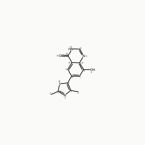 Cc1nc(C)c(-c2cc(O)c3nc[nH]c(=O)c3c2)s1